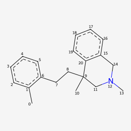 Cc1ccccc1CCC1(C)CN(C)Cc2ccccc21